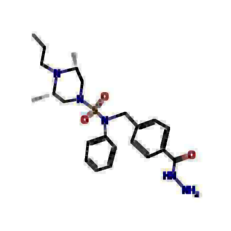 CCCN1[C@H](C)CN(S(=O)(=O)N(Cc2ccc(C(=O)NN)cc2)c2ccccc2)C[C@@H]1C